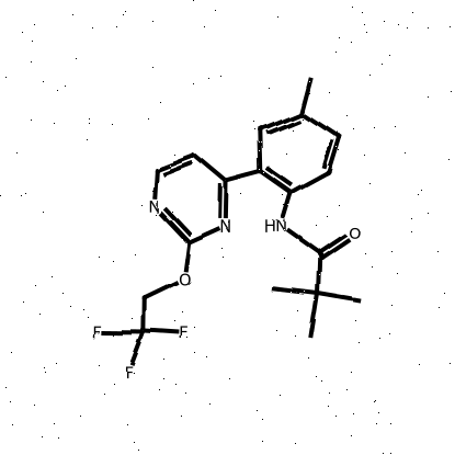 Cc1ccc(NC(=O)C(C)(C)C)c(-c2ccnc(OCC(F)(F)F)n2)c1